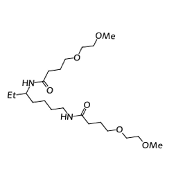 CCC(CCCCNC(=O)CCCOCCOC)NC(=O)CCCOCCOC